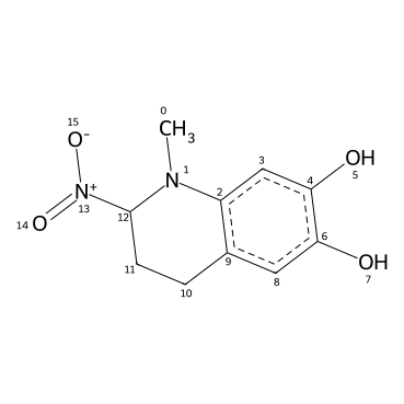 CN1c2cc(O)c(O)cc2CCC1[N+](=O)[O-]